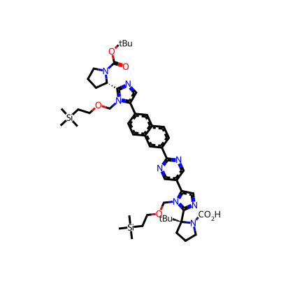 CC(C)(C)OC(=O)N1CCC[C@H]1c1ncc(-c2ccc3cc(-c4ncc(-c5cnc([C@@]6(C(C)(C)C)CCCN6C(=O)O)n5COCC[Si](C)(C)C)cn4)ccc3c2)n1COCC[Si](C)(C)C